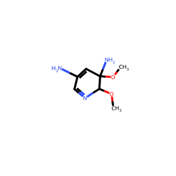 COC1N=CC(N)=CC1(N)OC